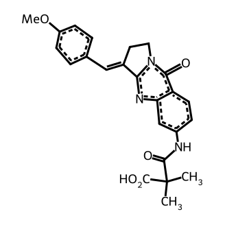 COc1ccc(C=C2CCn3c2nc2cc(NC(=O)C(C)(C)C(=O)O)ccc2c3=O)cc1